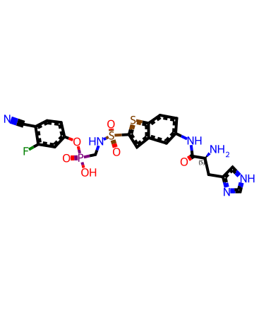 N#Cc1ccc(OP(=O)(O)CNS(=O)(=O)c2cc3cc(NC(=O)[C@@H](N)Cc4c[nH]cn4)ccc3s2)cc1F